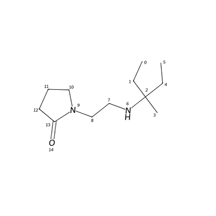 CCC(C)(CC)NCCN1CCCC1=O